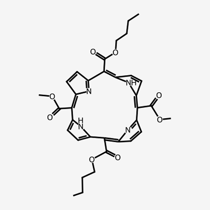 CCCCOC(=O)c1c2nc(c(C(=O)OC)c3ccc([nH]3)c(C(=O)OCCCC)c3nc(c(C(=O)OC)c4ccc1[nH]4)C=C3)C=C2